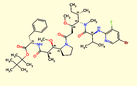 CC[C@H](C)[C@@H]([C@@H](CC(=O)N1CCC[C@H]1[C@H](OC)[C@@H](C)C(=O)N[C@@H](Cc1ccccc1)C(=O)OC(C)(C)C(C)(C)C)OC)N(C)C(=O)[C@@H](Nc1ncc(Br)cc1F)C(C)C